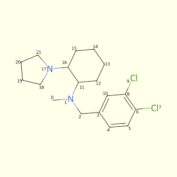 CN(Cc1ccc(Cl)c(Cl)c1)C1CCCCC1N1CCCC1